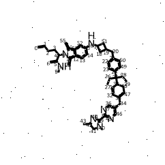 C=CCCC(C(=C)NC)n1c(=C)c2ccc(NC3CC(Cc4ccc(C(CC)(CC)C5C=CC(Cc6cnc(C7=NCC(C)=N7)nc6)=CC5)cc4)C3)cc2c1=C